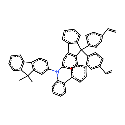 C=Cc1ccc(C2(c3ccc(C=C)cc3)c3ccccc3-c3cc(N(c4ccc5c(c4)C(C)(C)c4ccccc4-5)c4ccccc4-c4ccccc4)ccc32)cc1